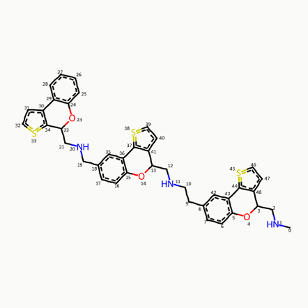 CNCC1Oc2ccc(CCNCC3Oc4ccc(CNCC5Oc6ccccc6-c6ccsc65)cc4-c4sccc43)cc2-c2sccc21